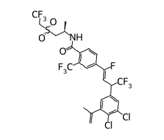 C=C(C)c1cc(C(/C=C(\F)c2ccc(C(=O)N[C@H](C)CS(=O)(=O)CC(F)(F)F)c(C(F)(F)F)c2)C(F)(F)F)cc(Cl)c1Cl